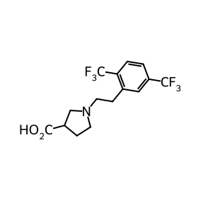 O=C(O)C1CCN(CCc2cc(C(F)(F)F)ccc2C(F)(F)F)C1